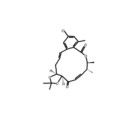 Cc1cc(Cl)cc2c1C(=O)O[C@@H](C)[C@H](C)/C=C\C(=O)[C@H]1OC(C)(C)O[C@H]1C/C=C/2